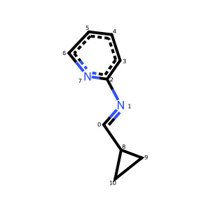 C(=Nc1ccccn1)C1CC1